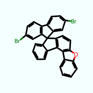 Brc1ccc2c(c1)C1(c3cc(Br)ccc3-2)c2ccccc2-c2c1ccc1oc3ccccc3c21